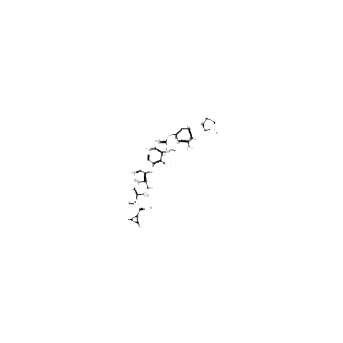 CN1CC[C@@H](Oc2cc(Nc3nc4ncc(Oc5cnn6cc(N(C)C(=O)C7CC7)ncc56)c(Cl)c4n3C)cc(C(F)(F)F)c2)C1